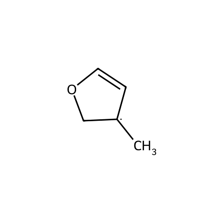 C[C]1C=COC1